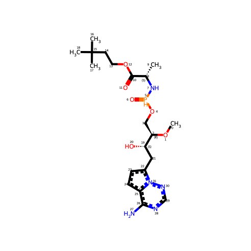 CO[C@H](CO[PH](=O)N[C@@H](C)C(=O)OCCC(C)(C)C)[C@@H](O)Cc1ccc2c(N)ncnn12